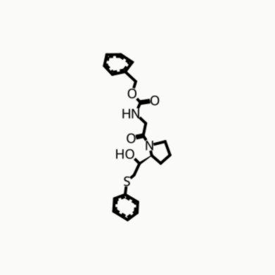 O=C(NCC(=O)N1CCC[C@H]1C(O)CSc1ccccc1)OCc1ccccc1